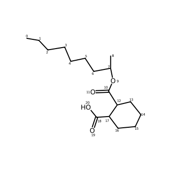 CCCCCCCC(C)OC(=O)C1CCCCC1C(=O)O